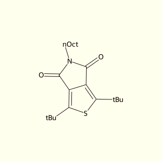 CCCCCCCCN1C(=O)c2c(C(C)(C)C)sc(C(C)(C)C)c2C1=O